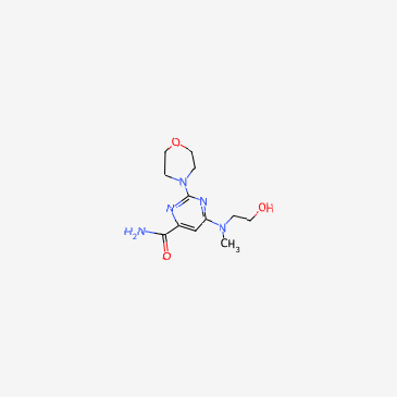 CN(CCO)c1cc(C(N)=O)nc(N2CCOCC2)n1